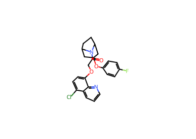 O=C(COc1ccc(Cl)c2cccnc12)N1C2CCC1CC(Oc1ccc(F)cc1)C2